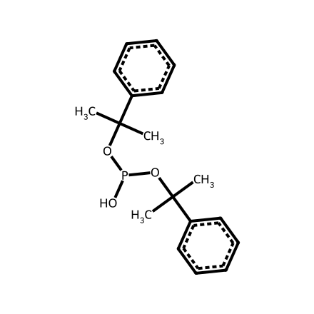 CC(C)(OP(O)OC(C)(C)c1ccccc1)c1ccccc1